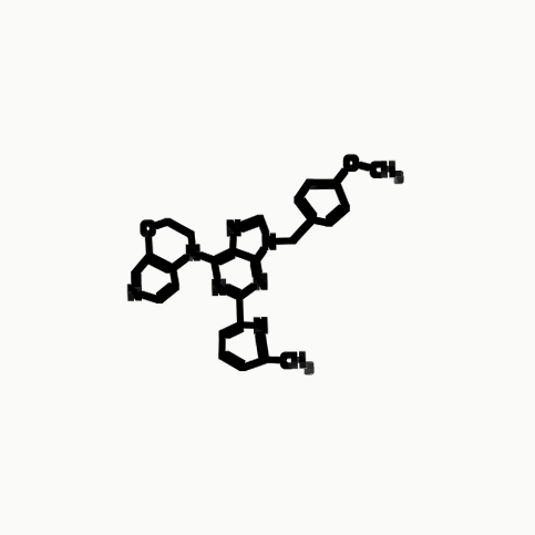 COc1ccc(Cn2cnc3c(N4CCOc5cnccc54)nc(-c4cccc(C)n4)nc32)cc1